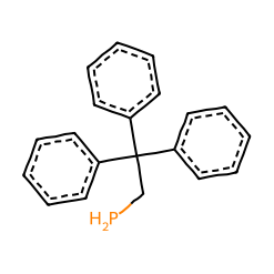 PCC(c1ccccc1)(c1ccccc1)c1ccccc1